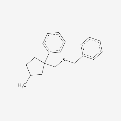 CC1CCC(CSCc2ccccc2)(c2ccccc2)C1